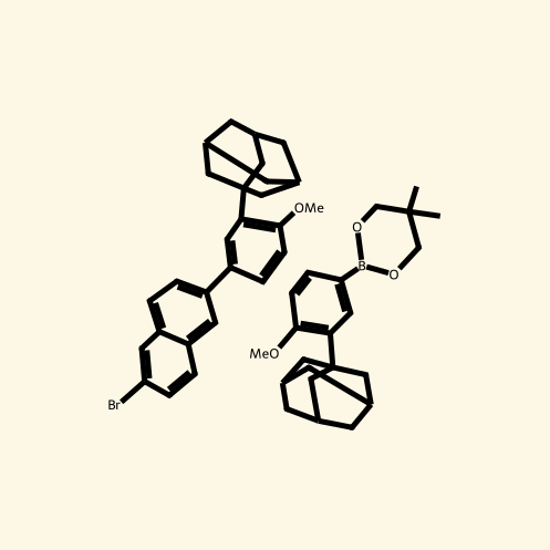 COc1ccc(-c2ccc3cc(Br)ccc3c2)cc1C12CC3CC(CC(C3)C1)C2.COc1ccc(B2OCC(C)(C)CO2)cc1C12CC3CC(CC(C3)C1)C2